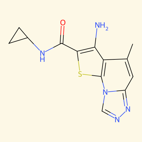 Cc1cc2nncn2c2sc(C(=O)NC3CC3)c(N)c12